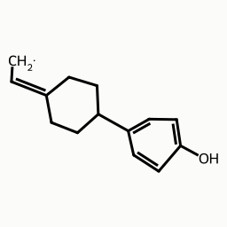 [CH2]C=C1CCC(c2ccc(O)cc2)CC1